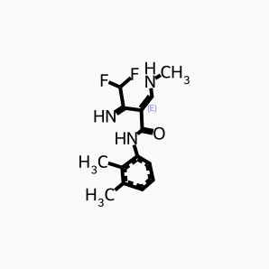 CN/C=C(\C(=N)C(F)F)C(=O)Nc1cccc(C)c1C